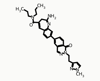 CCCN(CCC)C(=O)C1=Cc2ccc(-c3ccc4c(=O)n(CCc5ccn(C)n5)ncc4c3)cc2N=C(N)C1